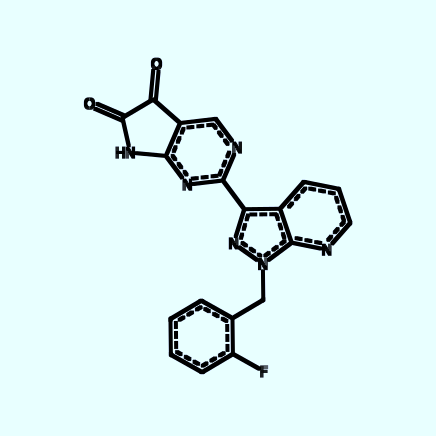 O=C1Nc2nc(-c3nn(Cc4ccccc4F)c4ncccc34)ncc2C1=O